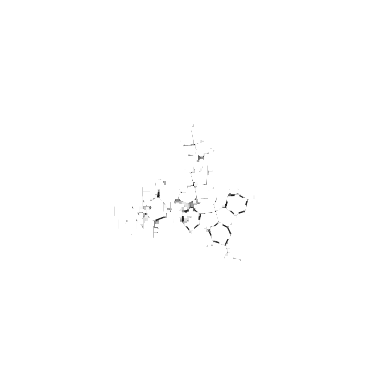 COc1ccc(C(O[C@H]2[C@H](F)[C@H](N3C=C(F)C(N)(N)NC3=O)O[C@]2(CI)CO[Si](C)(C)C(C)(C)C)(c2ccccc2)c2ccccc2)cc1